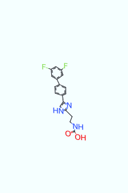 O=C(O)NCCc1nc(-c2ccc(-c3cc(F)cc(F)c3)cc2)c[nH]1